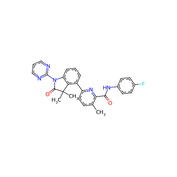 Cc1ccc(-c2cccc3c2C(C)(C)C(=O)N3c2ncccn2)nc1C(=O)Nc1ccc(F)cc1